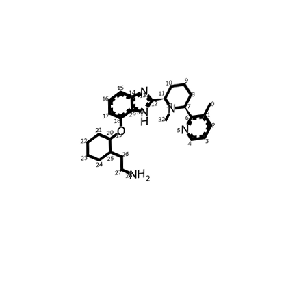 Cc1cccnc1[C@@H]1CCC[C@H](c2nc3cccc(OC4CCCCC4CCN)c3[nH]2)N1C